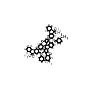 Cc1cccc(N(c2ccc3c(c2)C(C)(C)c2ccccc2-3)c2ccc3c(c2)C2(c4ccccc4Sc4ccccc42)c2cc(N(c4cccc(C)c4)c4ccc5c(c4)C(C)(C)c4ccccc4-5)c4c(oc5ccccc54)c2-3)c1